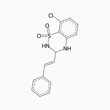 O=S1(=O)NC(C=Cc2ccccc2)Nc2cccc(Cl)c21